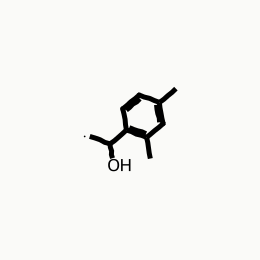 [CH2]C(O)c1ccc(C)cc1C